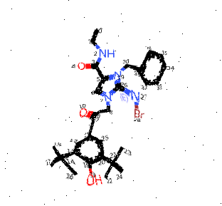 CCNC(=O)c1cn(CC(=O)c2cc(C(C)(C)C)c(O)c(C(C)(C)C)c2)/c(=N\Br)n1Cc1ccccc1